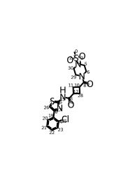 CS(=O)(=O)N1CCN(C(=O)C2CC(C(=O)Nc3nc(-c4ccccc4Cl)cs3)C2)CC1